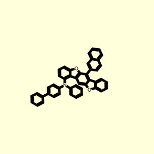 c1ccc(-c2ccc(N(c3ccccc3)c3cccc4oc5c(-c6ccc7ccccc7c6)c6c(cc5c34)oc3ccccc36)cc2)cc1